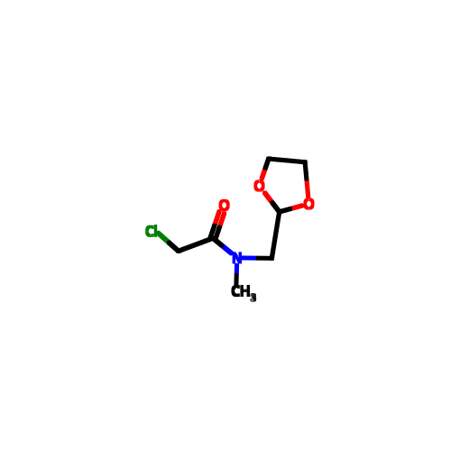 CN(CC1OCCO1)C(=O)CCl